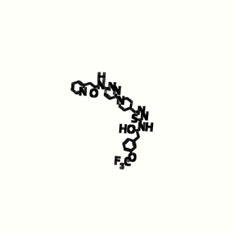 O=C(Cc1ccccn1)Nc1ccc(N2CCC(c3nnc(NC(O)Cc4cccc(OC(F)(F)F)c4)s3)CC2)nn1